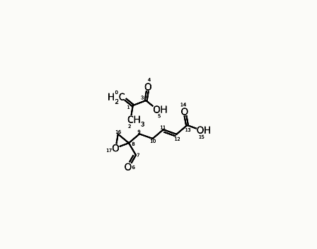 C=C(C)C(=O)O.O=CC1(CCC=CC(=O)O)CO1